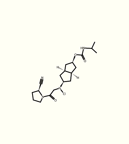 CC(C)NC(=O)O[C@@H]1C[C@@H]2C[C@H](N(Cl)CC(=O)N3CCC[C@H]3C#N)C[C@@H]2C1